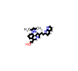 Cc1cc(C)n(-c2cccc(C(CCO)CN3CCC(CCc4ccc5cccnc5n4)C3)c2)n1